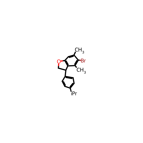 Cc1cc2c(c(C)c1Br)C(c1ccc(C(C)C)cc1)CO2